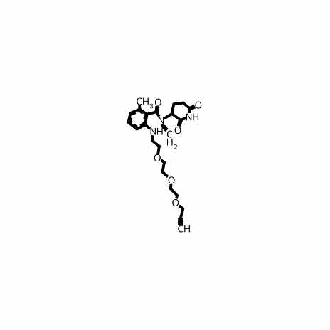 C#CCOCCOCCOCCNc1cccc(C)c1C(=O)N(C=C)C1CCC(=O)NC1=O